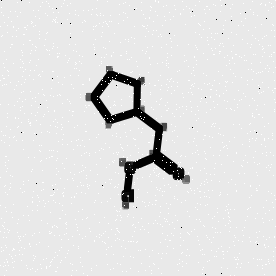 O=C(CC1CCCC1)OCl